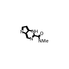 CNC(=O)c1ncc2nccc-2[nH]1